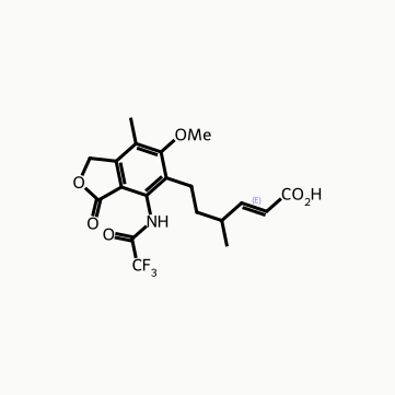 COc1c(C)c2c(c(NC(=O)C(F)(F)F)c1CCC(C)/C=C/C(=O)O)C(=O)OC2